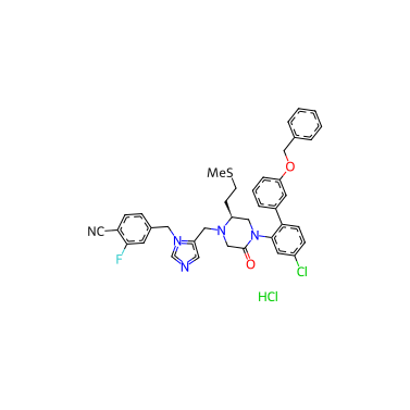 CSCC[C@H]1CN(c2cc(Cl)ccc2-c2cccc(OCc3ccccc3)c2)C(=O)CN1Cc1cncn1Cc1ccc(C#N)c(F)c1.Cl